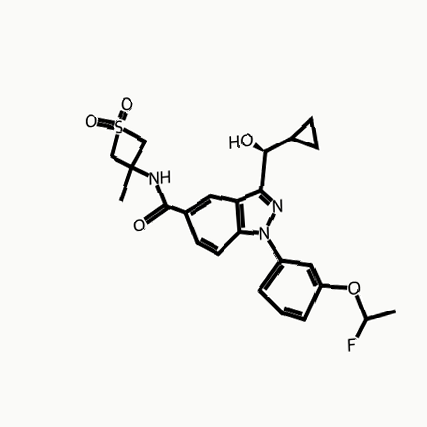 CC(F)Oc1cccc(-n2nc([C@@H](O)C3CC3)c3cc(C(=O)NC4(C)CS(=O)(=O)C4)ccc32)c1